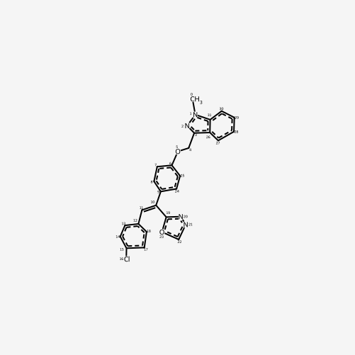 Cn1nc(COc2ccc(C(=Cc3ccc(Cl)cc3)c3nnco3)cc2)c2ccccc21